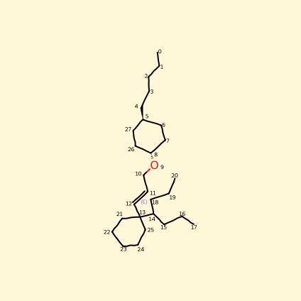 CCCCC[C@H]1CC[C@H](OC/C=C/C2(C(CCC)CCC)CCCCC2)CC1